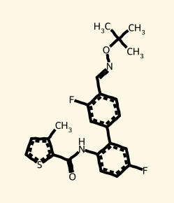 Cc1ccsc1C(=O)Nc1ccc(F)cc1-c1ccc(/C=N/OC(C)(C)C)c(F)c1